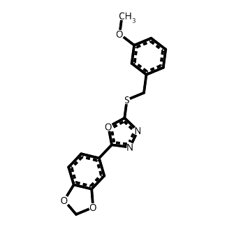 COc1cccc(CSc2nnc(-c3ccc4c(c3)OCO4)o2)c1